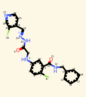 O=C(CNc1ccc(F)c(C(=O)NCc2ccccc2)c1)N/N=C/c1ccncc1F